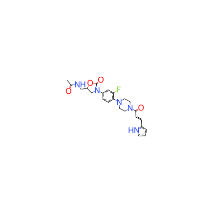 CC(=O)NCC1CN(c2ccc(N3CCN(C(=O)C=Cc4ccc[nH]4)CC3)c(F)c2)C(=O)O1